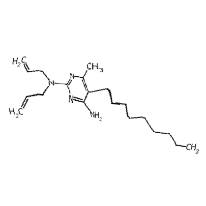 C=CCN(CC=C)c1nc(C)c(CCCCCCCCC)c(N)n1